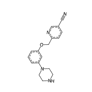 N#Cc1ccc(COc2cccc(N3CCNCC3)c2)nc1